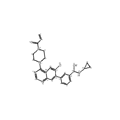 C=CC(=O)N1CCN(c2ncnc3cc(-c4cccc(C(O)NC5CC5)c4)c(Cl)cc23)CC1